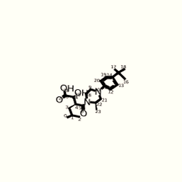 CC(C)C[C@H](C(=O)N1CCN(c2ccc(C(C)(C)C)cc2)C[C@H]1C)[C@H](O)C(=O)O